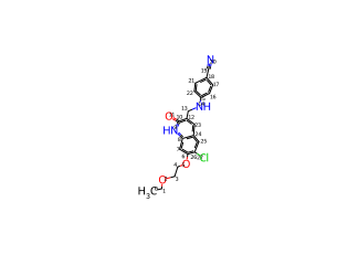 CCOCCOc1cc2[nH]c(=O)c(CNc3ccc(C#N)cc3)cc2cc1Cl